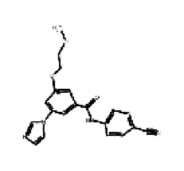 COCCOc1cc(C(=O)Nc2ccc(C#N)nc2)cc(-n2ccnc2)c1